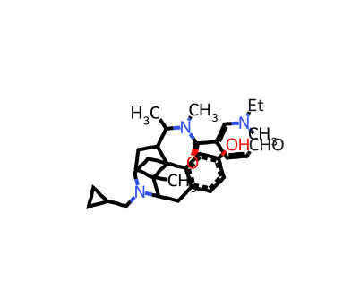 CCN(C)/C=C(\C=C/C=O)C(=O)N(C)C(C)C1CCC2(C)C3Cc4ccc(O)cc4C12CCN3CC1CC1